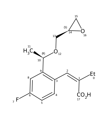 CCC(=Cc1ccc(F)cc1[C@@H](C)OC[C@H]1CO1)C(=O)O